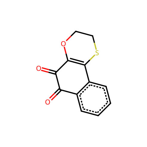 O=C1C(=O)c2ccccc2C2=C1OCCS2